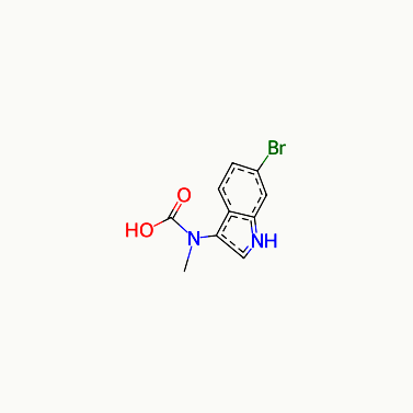 CN(C(=O)O)c1c[nH]c2cc(Br)ccc12